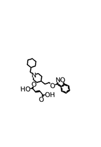 O=C(O)C=CC(=O)O.c1ccc2c(OCCC3CCN(CC4CCCCC4)CC3)noc2c1